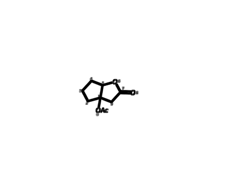 CC(=O)OC12CCCC1OC(=O)C2